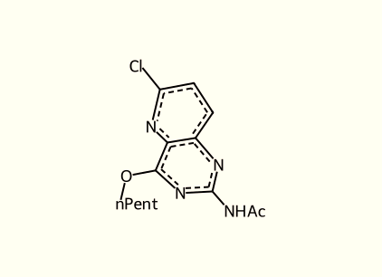 CCCCCOc1nc(NC(C)=O)nc2ccc(Cl)nc12